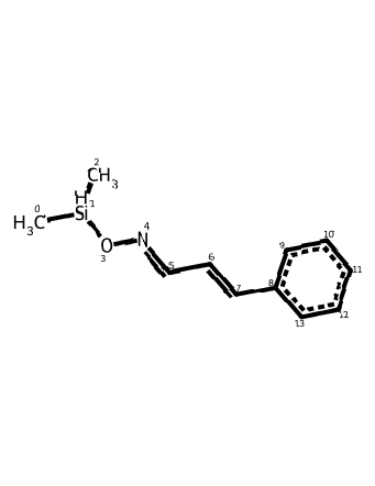 C[SiH](C)ON=C/C=C/c1ccccc1